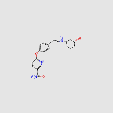 NC(=O)c1ccc(Oc2ccc(CCN[C@H]3CCC[C@H](O)C3)cc2)nc1